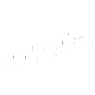 Cc1cn2cc(-c3cc4ccn(C5CCB(C#N)CC5)c(=O)c4cn3)nc(C)c2n1